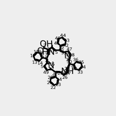 O=C(O)c1cc2[nH]c1c(-c1ccccc1)c1nc(c(-c3ccccc3)c3ccc([nH]3)c(-c3ccccc3)c3nc(c2-c2ccccc2)C=C3)C=C1